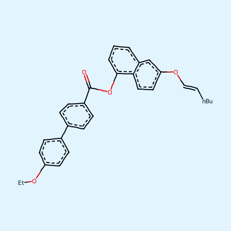 CCCCC=COc1ccc2c(OC(=O)c3ccc(-c4ccc(OCC)cc4)cc3)cccc2c1